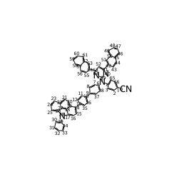 N#Cc1ccc(N(c2ccc(-c3ccc(-c4ccc5c6c4ccc4cccc(c46)n5-c4ccccc4)cc3)cc2)c2nc(-c3ccc4ccccc4c3)cc(-c3ccc4ccccc4c3)n2)cc1